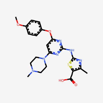 COc1ccc(Oc2cc(N3CCN(C)CC3)nc(Nc3nc(C)c(C(=O)O)s3)n2)cc1